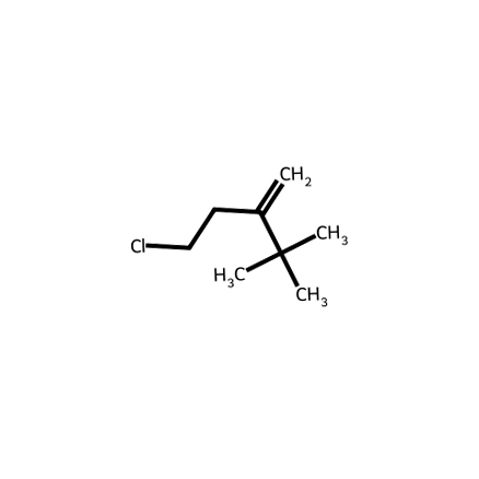 C=C(CCCl)C(C)(C)C